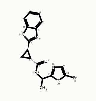 CC(NC(=O)[C@@H]1C[C@H]1c1nc2ccccc2[nH]1)c1ncc(Br)s1